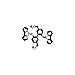 C=Cc1ccc(Op2n3cccc3c3cccn32)c(-c2cc(C=C)ccc2Op2n3cccc3c3cccn32)c1